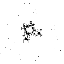 FC(F)(F)OP1(F)=NP(F)(F)=NP(F)(F)=NP(F)(OC(F)(F)F)=N1